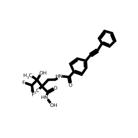 CC(CCNC(=O)c1ccc(C#Cc2ccccc2)cc1)(C(=O)NO)C(C)(O)C(F)F